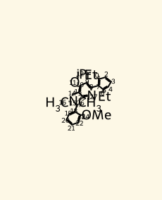 CCc1cccc(CC)c1-c1cc(OC(C)C)c(CN(C)Cc2ccccc2OC)c(C)n1